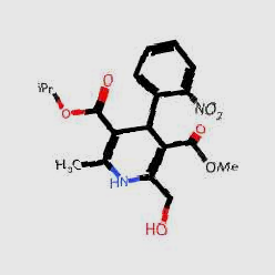 COC(=O)C1=C(CO)NC(C)=C(C(=O)OC(C)C)C1c1ccccc1[N+](=O)[O-]